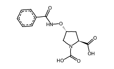 O=C(NO[C@@H]1C[C@@H](C(=O)O)N(C(=O)O)C1)c1ccccc1